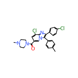 Cc1ccc(-c2c(-c3ccc(Cl)cc3)nc3c(Cl)cc(C(=O)N4CCN(C)CC4)cn23)cc1